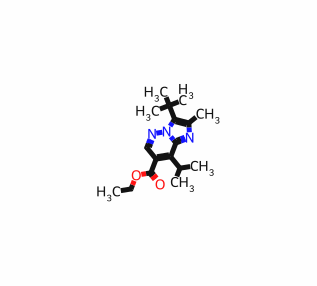 CCOC(=O)c1cnn2c(C(C)(C)C)c(C)nc2c1C(C)C